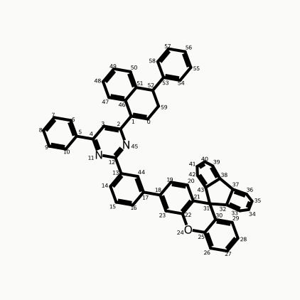 C1=C(c2cc(-c3ccccc3)nc(-c3cccc(-c4ccc5c(c4)Oc4ccccc4C54c5ccccc5-c5ccccc54)c3)n2)c2ccccc2C(c2ccccc2)C1